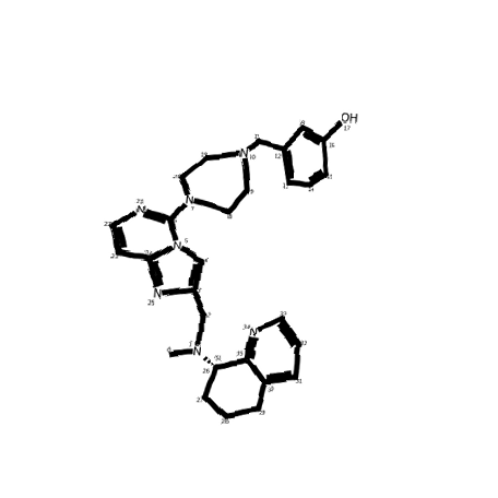 CN(Cc1cn2c(N3CCN(Cc4cccc(O)c4)CC3)nccc2n1)[C@H]1CCCc2cccnc21